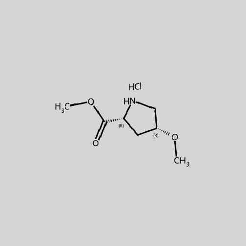 COC(=O)[C@H]1C[C@@H](OC)CN1.Cl